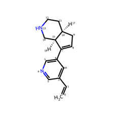 C=Cc1cncc(C2=CC[C@@H]3CCNC[C@H]23)c1